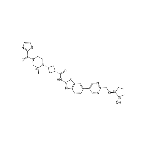 C[C@H]1CN(C(=O)c2nccs2)CCN1[C@H]1C[C@@H](C(=O)Nc2nc3ccc(-c4cnc(CO[C@H]5CCC[C@@H]5O)nc4)cc3s2)C1